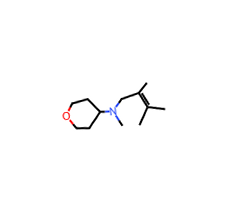 CC(C)=C(C)CN(C)C1CCOCC1